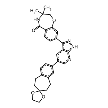 CC1(C)COc2cc(-c3n[nH]c4ncc(-c5ccc6c(c5)CCC5(CC6)OCCO5)cc34)ccc2C(=O)N1